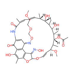 COCCOCO/N=C1\C=C2NC(=O)/C(C)=C\C=C\[C@H](C)[C@H](O)[C@@H](C)[C@@H](O)[C@@H](C)[C@H](OC(C)=O)C(C)[C@@H](OC)/C=C/O[C@@]3(C)Oc4c(C)c(O)c(c1c4/C3=N/O)C2=O